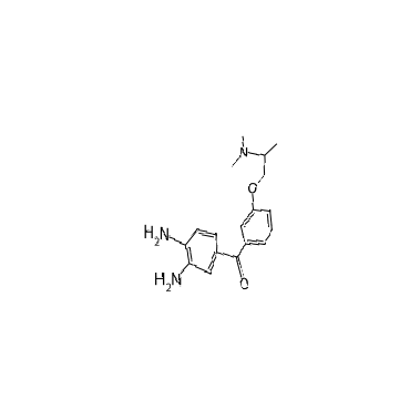 CC(COc1cccc(C(=O)c2ccc(N)c(N)c2)c1)N(C)C